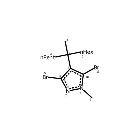 CCCCCCC(C)(CCCCC)c1c(Br)nn(C)c1Br